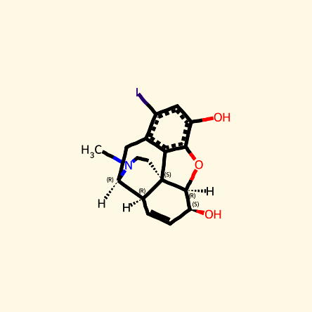 CN1CC[C@]23c4c5c(I)cc(O)c4O[C@H]2[C@@H](O)C=C[C@H]3[C@H]1C5